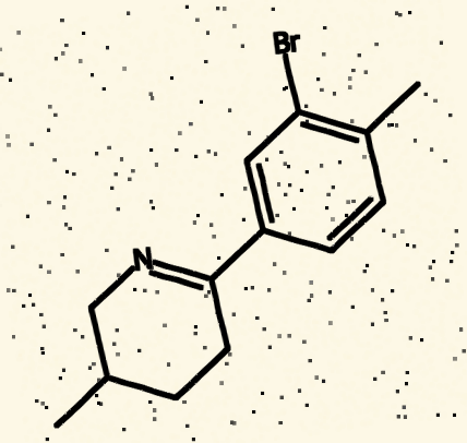 Cc1ccc(C2=NCC(C)CC2)cc1Br